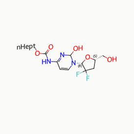 CCCCCCCOC(=O)NC1=NC(O)N([C@@H]2O[C@H](CO)CC2(F)F)C=C1